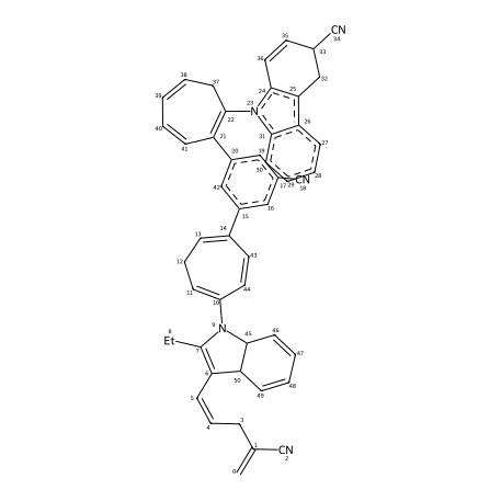 C=C(C#N)C/C=C\C1=C(CC)N(C2=CCC=C(c3cc(C#N)cc(C4=C(n5c6c(c7ccccc75)CC(C#N)C=C6)CC=CC=C4)c3)C=C2)C2C=CC=CC12